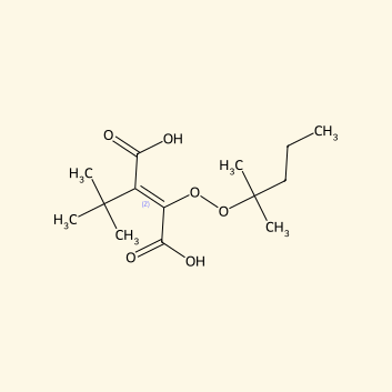 CCCC(C)(C)OO/C(C(=O)O)=C(\C(=O)O)C(C)(C)C